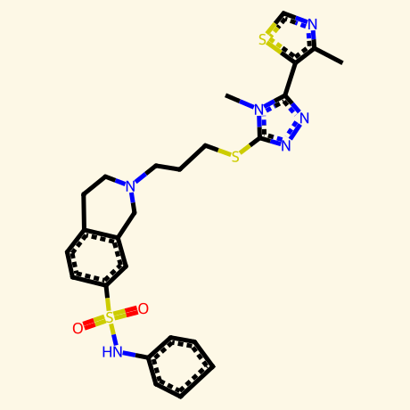 Cc1ncsc1-c1nnc(SCCCN2CCc3ccc(S(=O)(=O)Nc4ccccc4)cc3C2)n1C